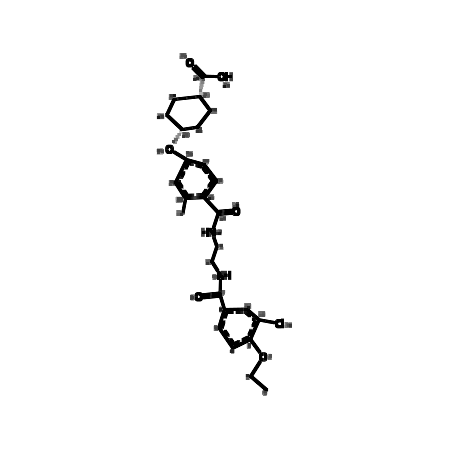 CCOc1ccc(C(=O)NCCNC(=O)c2ccc(O[C@H]3CC[C@@H](C(=O)O)CC3)cc2C)cc1Cl